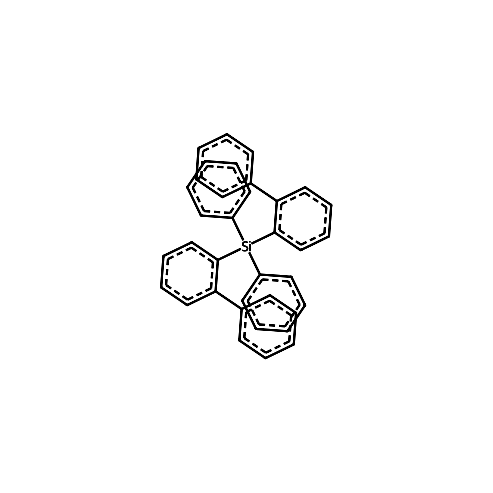 c1ccc(-c2ccccc2[Si](c2ccccc2)(c2ccccc2)c2ccccc2-c2ccccc2)cc1